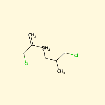 C=C(CCl)[SiH2]CC(C)CCl